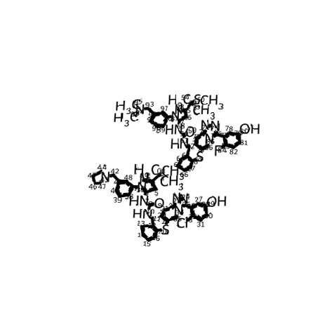 CC(C)(C)c1cc(NC(=O)NCc2ccccc2Sc2ccc3nnc(-c4cc(O)ccc4Cl)n3c2)n(-c2cccc(CN3CCCC3)c2)n1.CSC(C)(C)c1cc(NC(=O)NCc2ccccc2Sc2ccc3nnc(-c4cc(O)ccc4F)n3c2)n(-c2cccc(CN(C)C)c2)n1